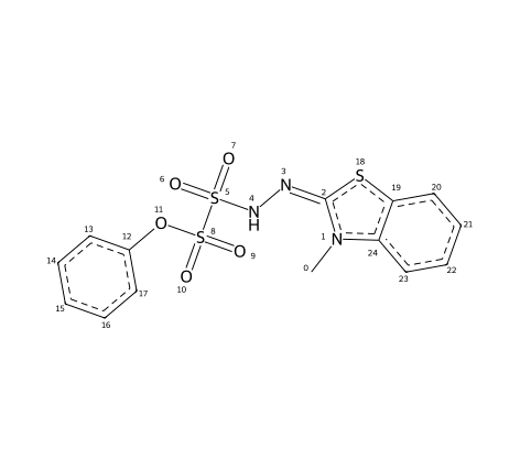 Cn1c(=NNS(=O)(=O)S(=O)(=O)Oc2ccccc2)sc2ccccc21